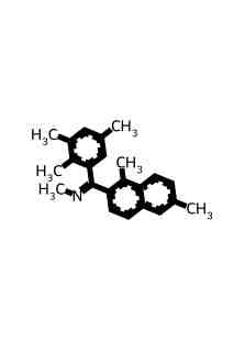 C/N=C(\c1cc(C)cc(C)c1C)c1ccc2cc(C)ccc2c1C